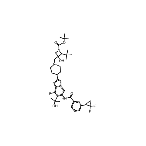 CC(C)(C)OC(=O)N1CC(O)(CN2CCC(c3cn4cc(NC(=O)c5cccc(C6CC6(F)F)n5)c(C(C)(C)O)c(F)c4n3)CC2)C1C(C)(C)C